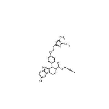 CC#CCOC(=O)N1CCc2c([nH]c3ccc(Cl)cc23)C1c1ccc(OCCn2cc(N)c(N)n2)cc1